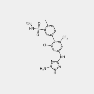 Cc1ccc(-c2c(Cl)cc(Nc3n[nH]c(N)n3)cc2C(F)(F)F)cc1S(=O)(=O)NC(C)(C)C